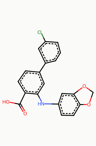 O=C(O)c1ccc(-c2cccc(Cl)c2)cc1Nc1ccc2c(c1)OCO2